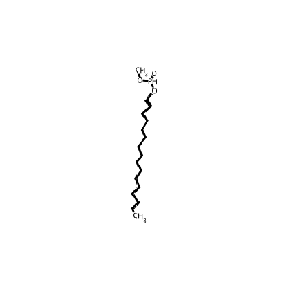 CCCCCCCCCCCCCCC=CO[PH](=O)OC